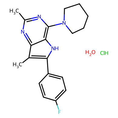 Cc1nc(N2CCCCC2)c2[nH]c(-c3ccc(F)cc3)c(C)c2n1.Cl.O